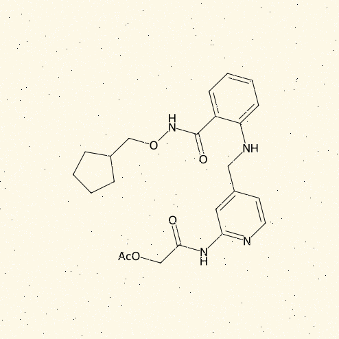 CC(=O)OCC(=O)Nc1cc(CNc2ccccc2C(=O)NOCC2CCCC2)ccn1